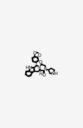 O=C1[C@H]2Cc3c([nH]c4ccccc34)[C@H](c3ccc4c(c3)OCO4)N2C(=O)CN1C1CCNC1